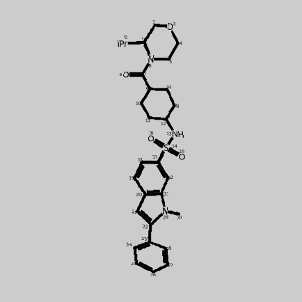 CC(C)C1COCCN1C(=O)C1CCC(NS(=O)(=O)c2ccc3cc(-c4ccccc4)n(C)c3c2)CC1